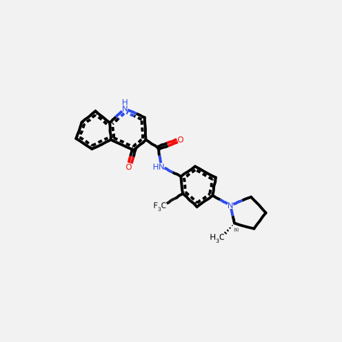 C[C@H]1CCCN1c1ccc(NC(=O)c2c[nH]c3ccccc3c2=O)c(C(F)(F)F)c1